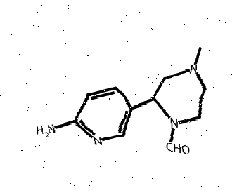 CN1CCN(C=O)C(c2ccc(N)nc2)C1